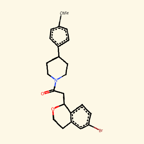 COc1ccc(C2CCN(C(=O)CC3OCCc4cc(Br)ccc43)CC2)cc1